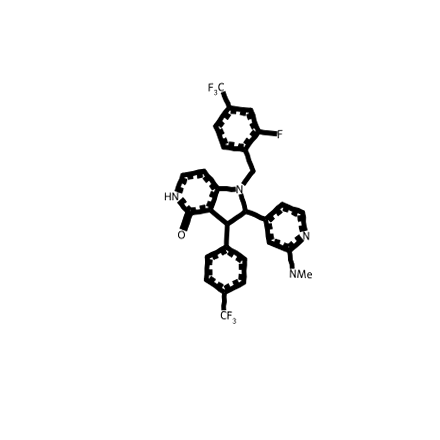 CNc1cc(C2C(c3ccc(C(F)(F)F)cc3)c3c(cc[nH]c3=O)N2Cc2ccc(C(F)(F)F)cc2F)ccn1